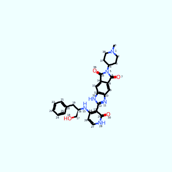 CN1CCC(N2C(=O)c3cc4nc(-c5c(N[C@@H](CO)Cc6ccccc6)cc[nH]c5=O)[nH]c4cc3C2=O)CC1